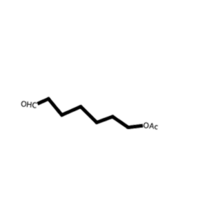 CC(=O)OCCCCCCC=O